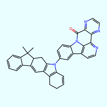 CC1(C)c2ccccc2C2=Cc3c4c(n(-c5ccc6c(c5)c5ccnc7c8nccnc8c(=O)n6c57)c3CC21)C=CCC4